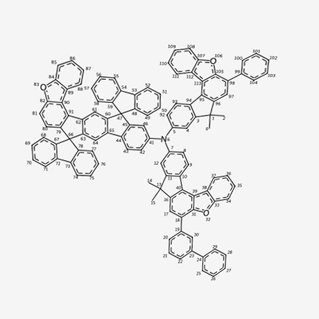 CC1(C)c2cc(N(c3ccc4c(c3)C(C)(C)c3cc(-c5cccc(-c6ccccc6)c5)c5oc6ccccc6c5c3-4)c3ccc4c(c3)C3(c5ccccc5-c5ccccc53)c3cc5c(cc3-4)C3(c4ccccc4-c4ccccc43)c3ccc4oc6ccccc6c4c3-5)ccc2-c2c1cc(-c1ccccc1)c1oc3ccccc3c21